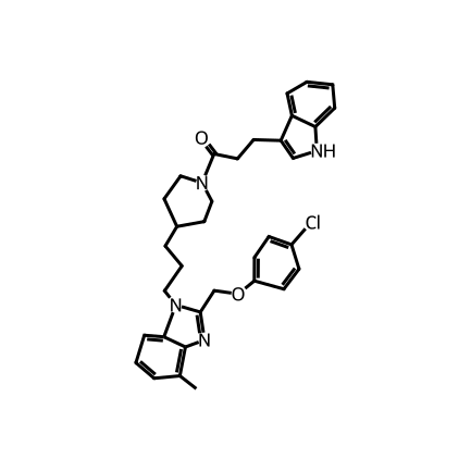 Cc1cccc2c1nc(COc1ccc(Cl)cc1)n2CCCC1CCN(C(=O)CCc2c[nH]c3ccccc23)CC1